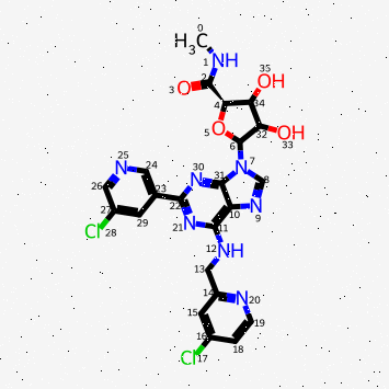 CNC(=O)[C@@H]1OC(n2cnc3c(NCc4cc(Cl)ccn4)nc(-c4cncc(Cl)c4)nc32)C(O)C1O